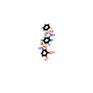 COc1ccc(NS(=O)(=O)c2c(F)c(F)c(NS(=O)(=O)c3ccccc3)c(F)c2F)cc1O